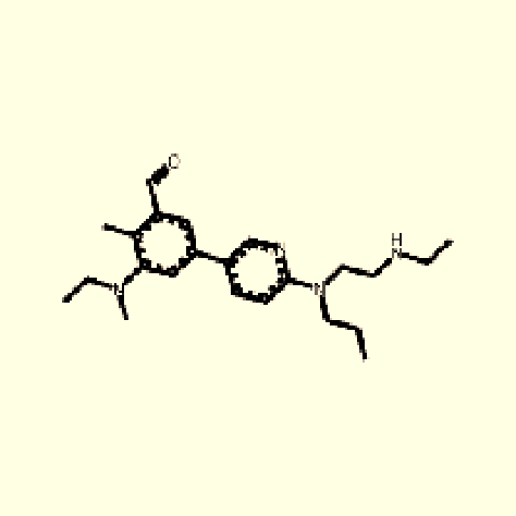 CCCN(CCNCC)c1ccc(-c2cc(C=O)c(C)c(N(C)CC)c2)cn1